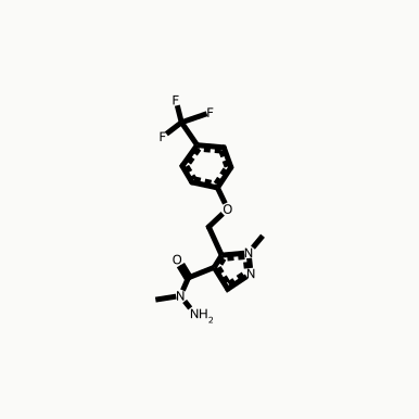 CN(N)C(=O)c1cnn(C)c1COc1ccc(C(F)(F)F)cc1